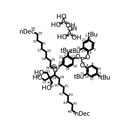 CC(C)(C)c1ccc(OP(Oc2ccc(C(C)(C)C)cc2C(C)(C)C)Oc2ccc(C(C)(C)C)cc2C(C)(C)C)c(C(C)(C)C)c1.CCCCCCCCCCCCCCCCCCOC(CCCCCCCCCCCCCCCCCC)C(CO)(CO)CO.OP(O)O.OP(O)O